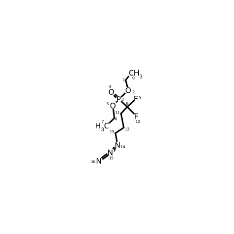 CCOP(=O)(OCC)C(F)(F)CCCN=[N+]=[N-]